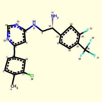 Cc1ccc(-c2cc(NC[C@H](N)c3ccc(C(F)(F)F)c(F)c3)ncn2)cc1Cl